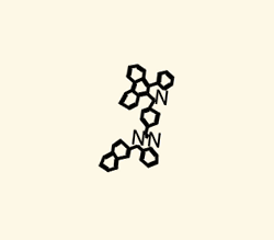 c1ccc2cc(-c3nc(-c4ccc(-c5nc6ccccc6c6c7ccccc7c7ccccc7c56)cc4)nc4ccccc34)ccc2c1